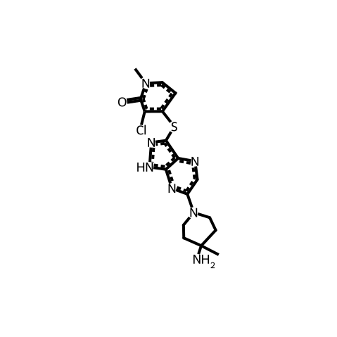 Cn1ccc(Sc2n[nH]c3nc(N4CCC(C)(N)CC4)cnc23)c(Cl)c1=O